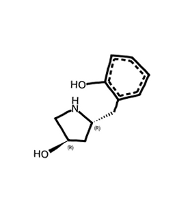 Oc1ccccc1C[C@@H]1C[C@@H](O)CN1